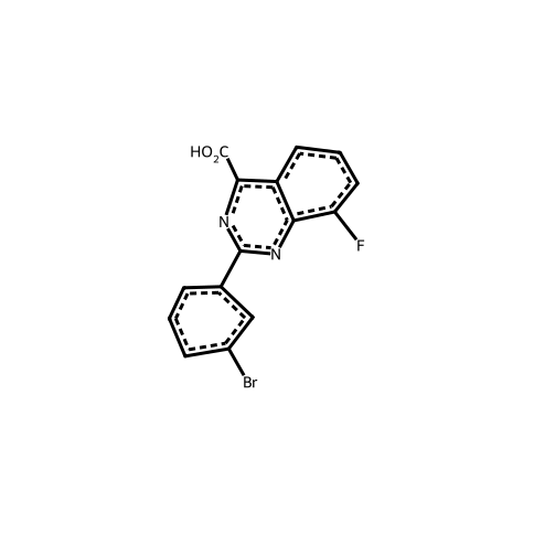 O=C(O)c1nc(-c2cccc(Br)c2)nc2c(F)cccc12